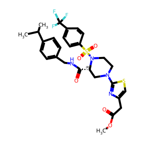 COC(=O)Cc1csc(N2CCN(S(=O)(=O)c3ccc(C(F)(F)F)cc3)[C@@H](C(=O)NCc3ccc(C(C)C)cc3)C2)n1